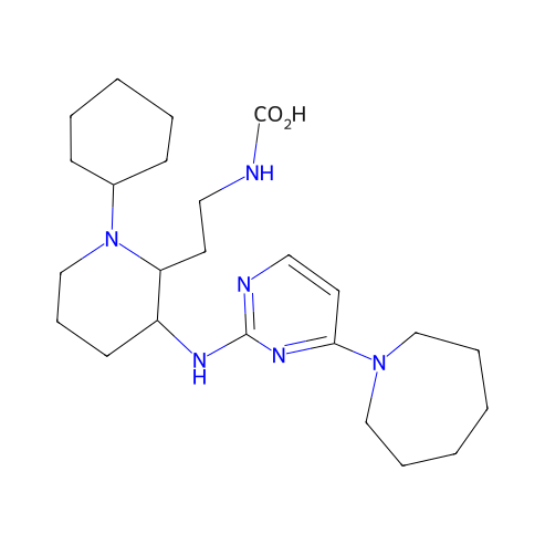 O=C(O)NCCC1C(Nc2nccc(N3CCCCCC3)n2)CCCN1C1CCCCC1